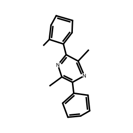 Cc1ccccc1-c1nc(C)c(-c2ccccc2)nc1C